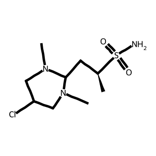 C[C@@H](CC1N(C)CC(Cl)CN1C)S(N)(=O)=O